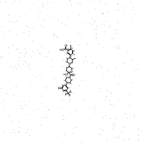 CC1CN(C2CC[C@](O)(C(=O)N3CCN(c4cc(F)cc(C(F)(F)F)c4)CC3)OC2)CCN1c1ccc(F)c(C(=O)O)c1